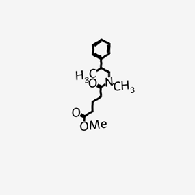 COC(=O)CCCC(=O)N(C)CC(C)c1ccccc1